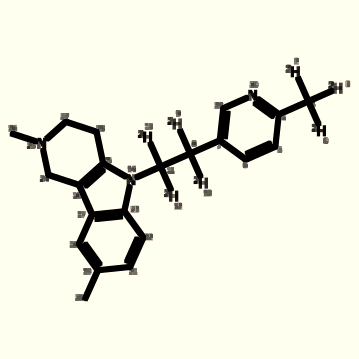 [2H]C([2H])([2H])c1ccc(C([2H])([2H])C([2H])([2H])n2c3c(c4cc(C)ccc42)CN(C)CC3)cn1